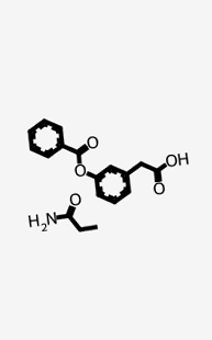 CCC(N)=O.O=C(O)Cc1cccc(OC(=O)c2ccccc2)c1